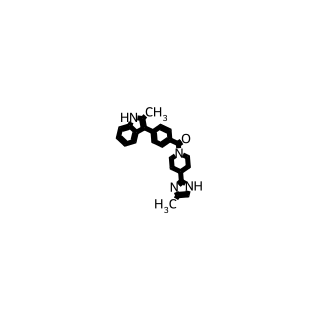 Cc1c[nH]c(C2CCN(C(=O)c3ccc(-c4c(C)[nH]c5ccccc45)cc3)CC2)n1